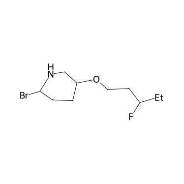 CCC(F)CCOC1CCC(Br)NC1